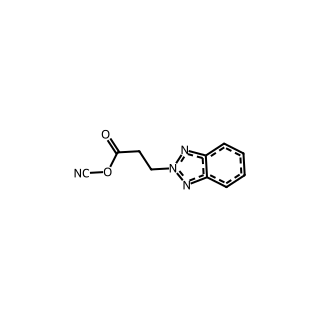 N#COC(=O)CCn1nc2ccccc2n1